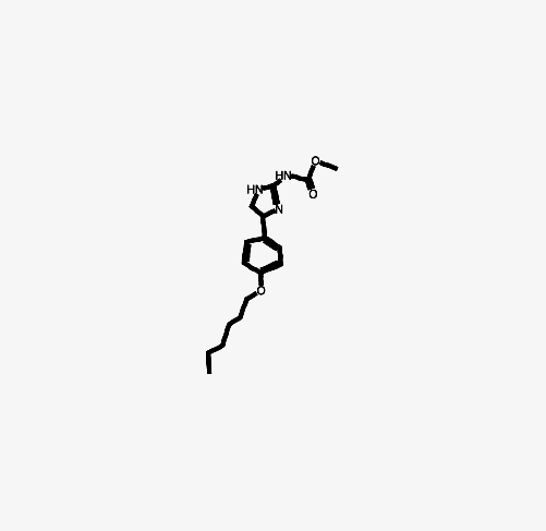 CCCCCCOc1ccc(C2CNC(NC(=O)OC)=N2)cc1